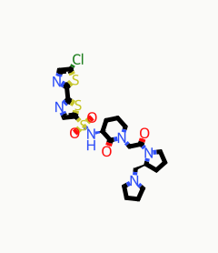 O=C1[C@@H](NS(=O)(=O)c2cnc(-c3ncc(Cl)s3)s2)CCCN1CC(=O)N1CCC[C@H]1CN1CCCC1